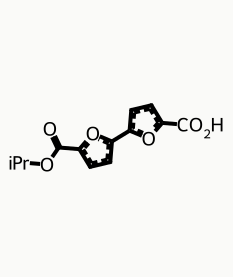 CC(C)OC(=O)c1ccc(-c2ccc(C(=O)O)o2)o1